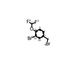 FC(F)Oc1ccc(CBr)cc1Br